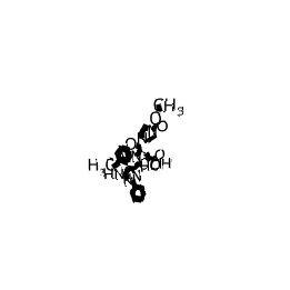 CCOC(=O)N1CCN(C(=O)[C@H](CCC(=O)O)NC(=O)c2cc(N[C@@H](C)c3ccccc3)nc(-c3ccccc3)n2)CC1.Cl